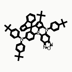 CC(C)(C)c1ccc(N(c2ccc(C(C)(C)C)cc2)c2ccc3c(c2)C2(c4ccccc4-c4ccccc42)c2cc(C(C)(C)C)cc4c2B3c2cc3nonc3cc2N4c2ccc(C(C)(C)C)cc2)cc1